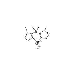 CC1=CC[C]2=C1[Si](C)(C)C1=[C](CC=C1C)[Hf+2]2.[Cl-].[Cl-]